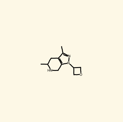 Cc1nn(C2COC2)c2c1CC(C)NC2